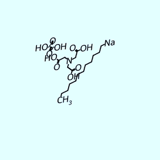 CCCCCCCCCCC[CH2][Na].O=C(O)CN(CC(=O)O)CC(=O)O.O=S(=O)(O)O